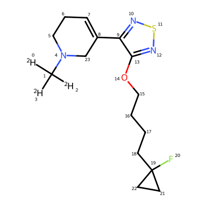 [2H]C([2H])([2H])N1CCC=C(c2nsnc2OCCCCC2(F)CC2)C1